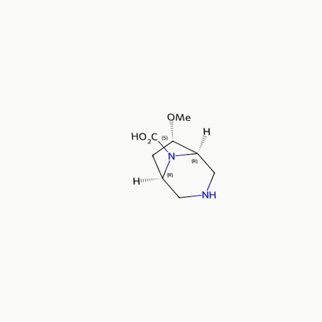 CO[C@H]1C[C@@H]2CNC[C@H]1N2C(=O)O